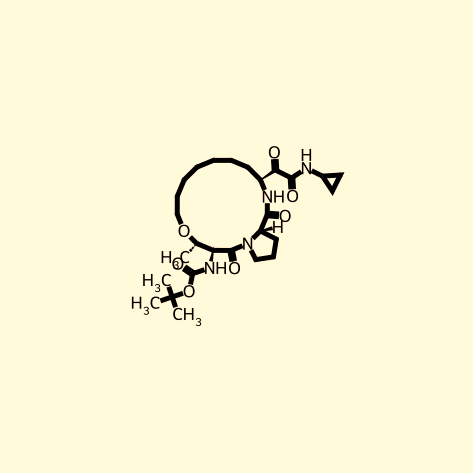 C[C@@H]1OCCCCCCC[C@@H](C(=O)C(=O)NC2CC2)NC(=O)[C@@H]2CCCN2C(=O)[C@H]1NC(=O)OC(C)(C)C